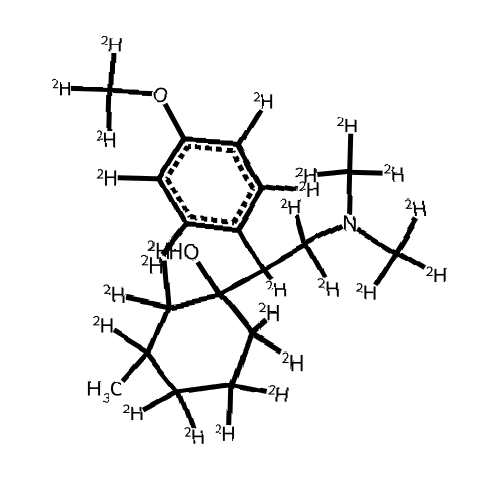 [2H]c1c([2H])c(C([2H])(C([2H])([2H])N(C([2H])([2H])[2H])C([2H])([2H])[2H])C2(O)C([2H])([2H])C([2H])([2H])C([2H])([2H])C([2H])(C)C2([2H])[2H])c([2H])c([2H])c1OC([2H])([2H])[2H]